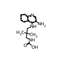 CC(C)(CNC(=O)O)CNc1c(N)cnc2ccccc12